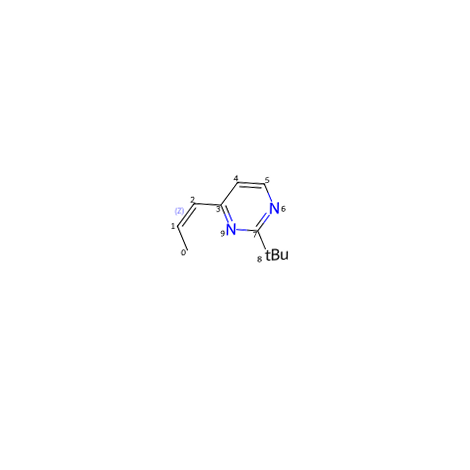 C/C=C\c1ccnc(C(C)(C)C)n1